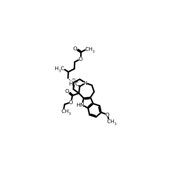 CCOC(=O)C12C[C@H](CC(C)CCOC(C)=O)CN(CCc3c1[nH]c1ccc(OC)cc31)C2C